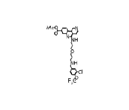 COC(=O)c1ccc2c(c1)nc(NCCCOCCCNCc1ccc(OC(F)(F)F)c(Cl)c1)c1ccncc12